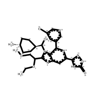 CCOC(COC)c1nc2cc(-c3noc(=O)[nH]3)nc(-c3cncc(Cl)c3)c2n1C(C)[C@H]1CC[C@H](C)CC1